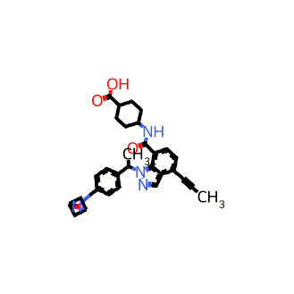 CC#Cc1ccc(C(=O)NC2CCC(C(=O)O)CC2)c2c1cnn2C(C)c1ccc(N2CC3CC2C3)cc1